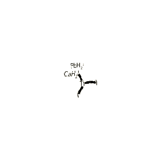 [CaH2].[I][Ti]([I])[I].[PbH2]